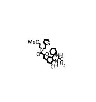 C=C1Nc2c(Cl)cc3cc(C(=O)N(CCOC)Cc4cccs4)oc3c2C2(CCCCC2)N1